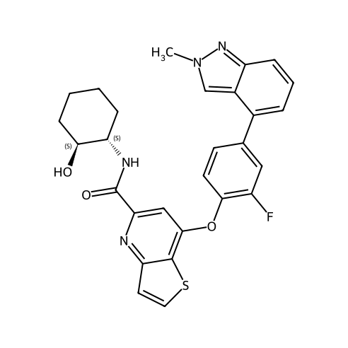 Cn1cc2c(-c3ccc(Oc4cc(C(=O)N[C@H]5CCCC[C@@H]5O)nc5ccsc45)c(F)c3)cccc2n1